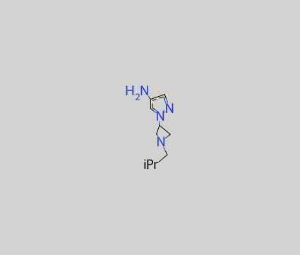 CC(C)CN1CC(n2cc(N)cn2)C1